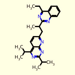 CCc1nc(C(C)Cc2ccc3c(C(C)C)nc(C(C)C)nc3n2)nc2ccccc12